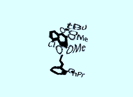 CCCOc1ccccc1CCCOc1c(OC)c(OC)c(OC(=O)C(C)(C)C)c2cccc(Cl)c12